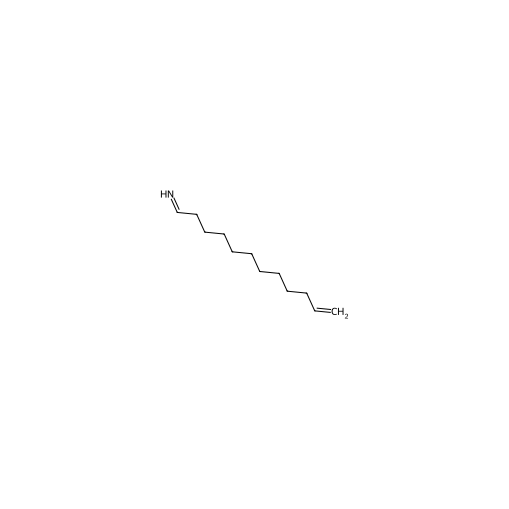 C=CCCCCCCCCCC=N